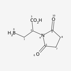 BCC(C(=O)O)N1C(=O)CCC1=O